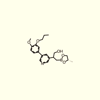 CCCOc1cc(-c2cncc(C(CO)CB3OC[C@H](C)O3)c2)ccc1OC